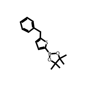 CC1(C)OB(c2ccc(Cc3ccccc3)s2)OC1(C)C